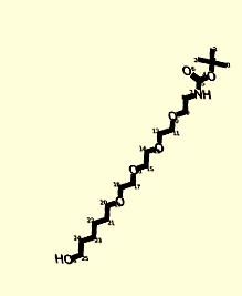 CC(C)(C)OC(=O)NCCOCCOCCOCCOCCCCCCO